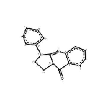 O=C1c2ncccc2N=C2C1CCN2c1ccccc1